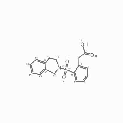 O=C(O)Cc1ccccc1S(=O)(=O)N1CCc2ccccc2C1